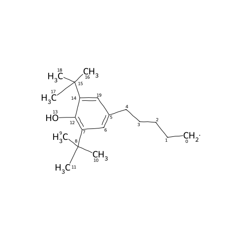 [CH2]CCCCc1cc(C(C)(C)C)c(O)c(C(C)(C)C)c1